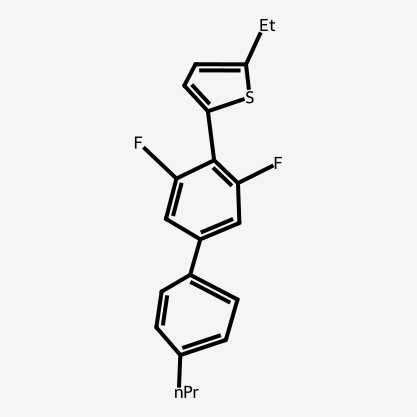 CCCc1ccc(-c2cc(F)c(-c3ccc(CC)s3)c(F)c2)cc1